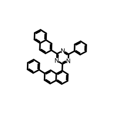 c1ccc(-c2ccc3cccc(-c4nc(-c5ccccc5)nc(-c5ccc6ccccc6c5)n4)c3c2)cc1